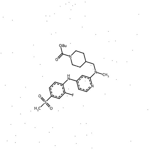 CC(C)COC(=O)N1CCC(CN(C)c2cc(Nc3ccc(S(C)(=O)=O)cc3F)ccn2)CC1